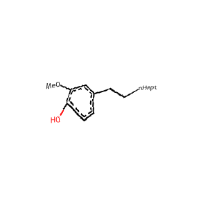 CCCCCCCCCc1ccc(O)c(OC)c1